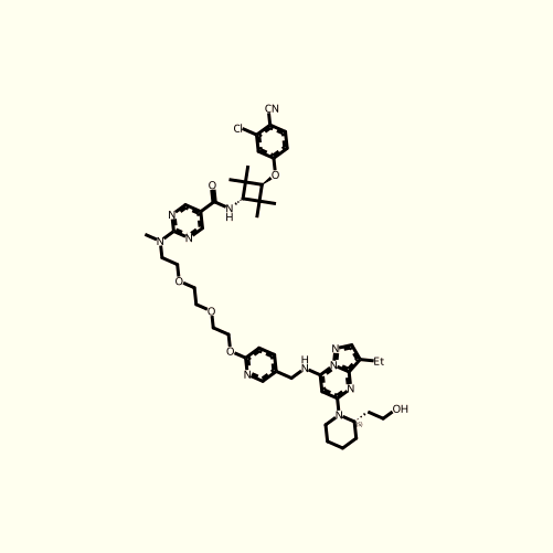 CCc1cnn2c(NCc3ccc(OCCOCCOCCN(C)c4ncc(C(=O)N[C@H]5C(C)(C)[C@H](Oc6ccc(C#N)c(Cl)c6)C5(C)C)cn4)nc3)cc(N3CCCC[C@H]3CCO)nc12